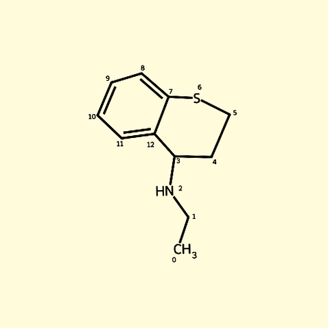 CCNC1CCSc2ccccc21